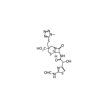 Cn1nnnc1SCC1(C(=O)O)CS[C@@H]2C(NC(=O)C(O)c3csc(NC=O)n3)C(=O)N2C1